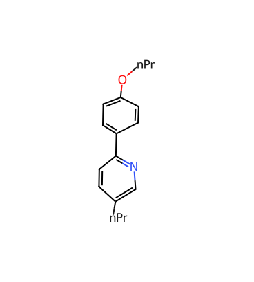 CCCOc1ccc(-c2ccc(CCC)cn2)cc1